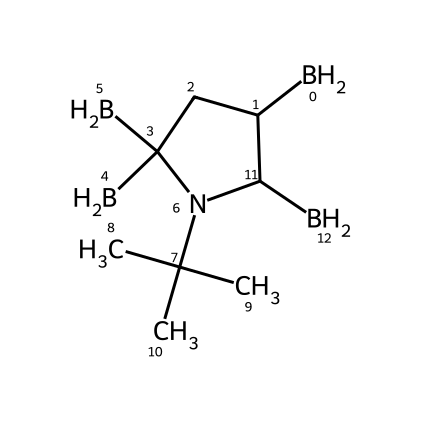 BC1CC(B)(B)N(C(C)(C)C)C1B